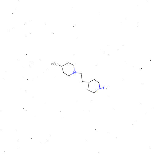 CCCCC1CCN(CCC2CCNCC2)CC1